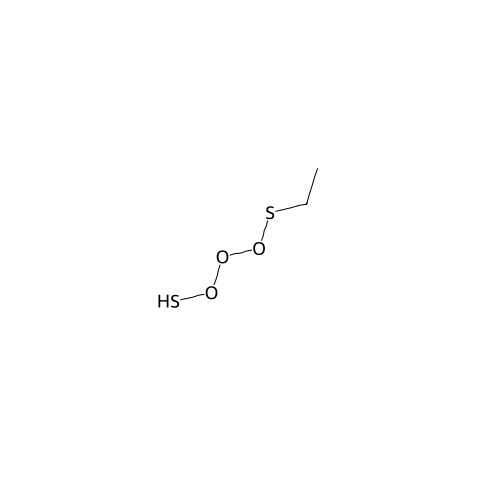 CCSOOOS